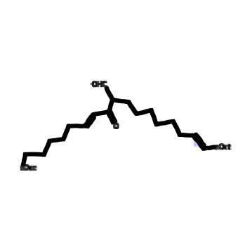 CCCCCCCC/C=C/CCCCCCC([C]=O)C(=O)C=CCCCCCCCCCCCCCCC